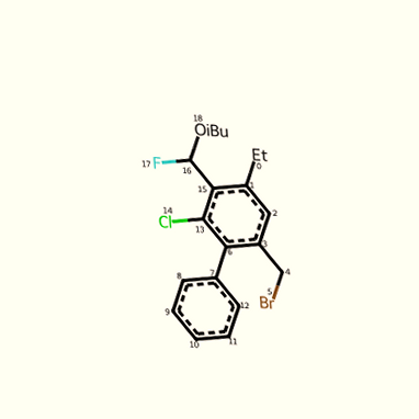 CCc1cc(CBr)c(-c2ccccc2)c(Cl)c1[C](F)OCC(C)C